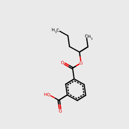 CCCC(CC)OC(=O)c1cccc(C(=O)O)c1